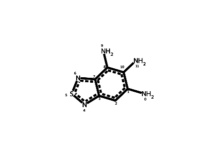 Nc1cc2nsnc2c(N)c1N